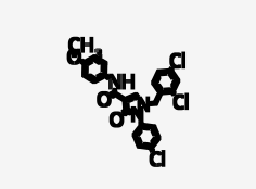 COc1ccc(NC(=O)c2cn(Cc3ccc(Cl)cc3Cl)n(-c3ccc(Cl)cc3)c2=O)cc1